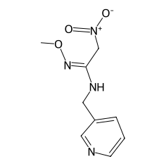 CON=C(C[N+](=O)[O-])NCc1cccnc1